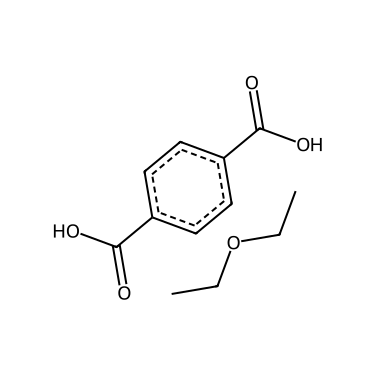 CCOCC.O=C(O)c1ccc(C(=O)O)cc1